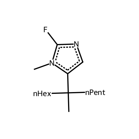 CCCCCCC(C)(CCCCC)c1cnc(F)n1C